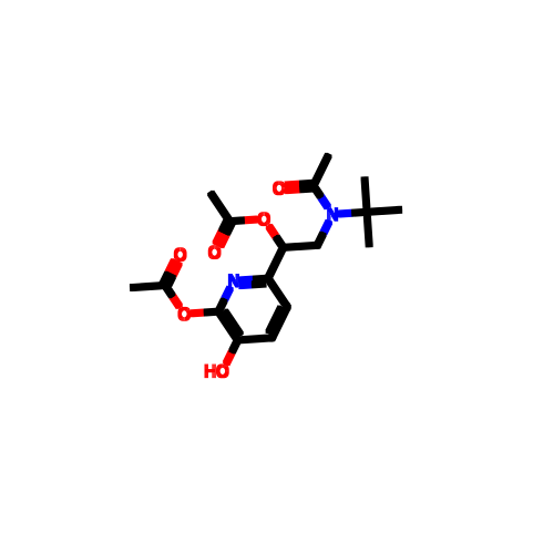 CC(=O)Oc1nc(C(CN(C(C)=O)C(C)(C)C)OC(C)=O)ccc1O